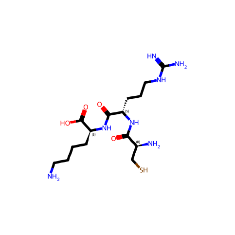 N=C(N)NCCC[C@H](NC(=O)[C@@H](N)CS)C(=O)N[C@@H](CCCCN)C(=O)O